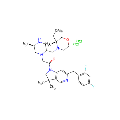 COC[C@]1(C)COCCN1C[C@H]1CN[C@H](C)CN1CC(=O)N1CC(C)(C)c2cnc(Cc3ccc(F)cc3F)cc21.Cl.Cl